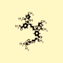 CCn1nc(C)cc1Nc1nc2cc(C(N)=O)ccc2n1C/C=C/Cn1c(Nc2cc(C)nn2CC)nc2cc(C(=O)N(C)CCCNC(=O)OC(C)(C)C)ccc21